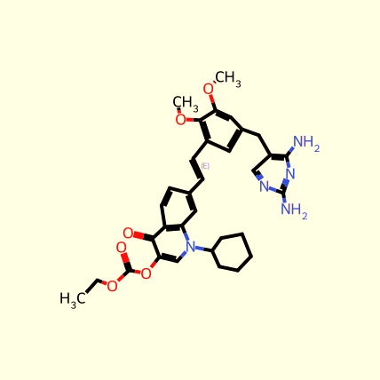 CCOC(=O)Oc1cn(C2CCCCC2)c2cc(/C=C/c3cc(Cc4cnc(N)nc4N)cc(OC)c3OC)ccc2c1=O